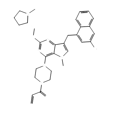 C=CC(=O)N1CCN(c2nc(OC[C@@H]3CCCN3C)nc3c(Cc4cc(O)cc5ccccc45)cn(C)c23)CC1